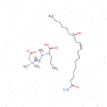 CCCC(C(=O)O)N(C)C.CCCCCC[C@@H](O)C/C=C\CCCCCCCC(N)=O.C[N+](C)(C)CC(=O)[O-]